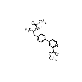 COC(=O)c1cc(-c2ccc(CC(C)NC(C)=O)cc2)ccn1